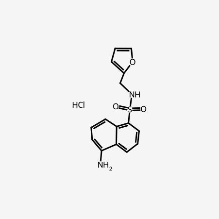 Cl.Nc1cccc2c(S(=O)(=O)NCc3ccco3)cccc12